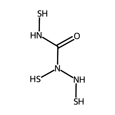 O=C(NS)N(S)NS